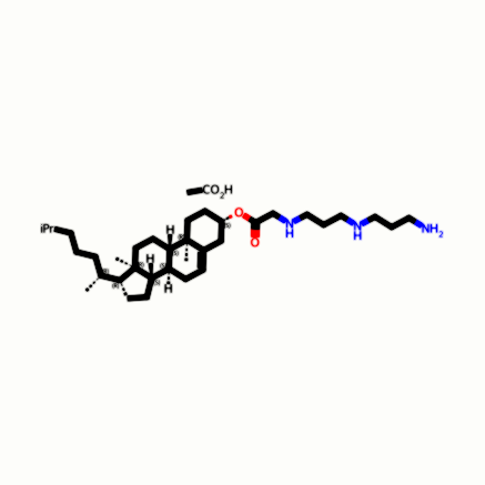 CC(=O)O.CC(C)CCC[C@@H](C)[C@H]1CC[C@H]2[C@@H]3CC=C4C[C@@H](OC(=O)CNCCCNCCCN)CC[C@]4(C)[C@H]3CC[C@]12C